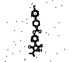 CC(C)C1NC(=S)N(c2ccc(OC(=O)N3CCN(c4ccc(F)cn4)CC3)cn2)C1=O